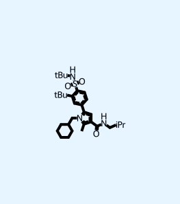 Cc1c(C(=O)NCC(C)C)cc(-c2ccc(S(=O)(=O)NC(C)(C)C)c(C(C)(C)C)c2)n1CC1CCCCC1